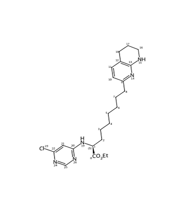 CCOC(=O)[C@H](CCCCCCCc1ccc2c(n1)NCCC2)Nc1cc(Cl)ncn1